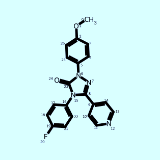 COc1ccc(-n2nc(-c3ccncc3)n(-c3ccc(F)cc3)c2=O)cc1